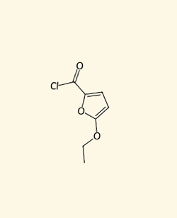 CCOc1ccc(C(=O)Cl)o1